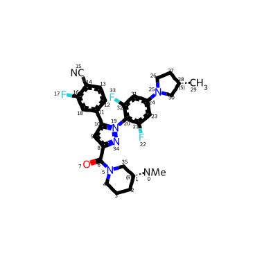 CN[C@@H]1CCCN(C(=O)c2cc(-c3ccc(C#N)c(F)c3)n(-c3c(F)cc(N4CC[C@H](C)C4)cc3F)n2)C1